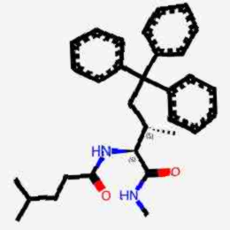 CNC(=O)[C@@H](NC(=O)CCC(C)C)[C@@H](C)CC(c1ccccc1)(c1ccccc1)c1ccccc1